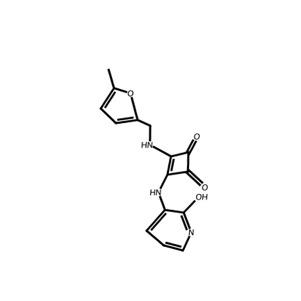 Cc1ccc(CNc2c(Nc3cccnc3O)c(=O)c2=O)o1